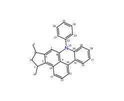 CC1CC(C)c2c1cc1c3c(cccc23)-c2ccccc2N1c1ccccc1